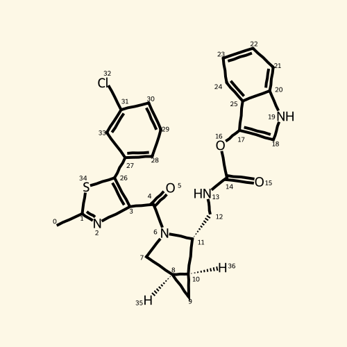 Cc1nc(C(=O)N2C[C@@H]3C[C@@H]3[C@H]2CNC(=O)Oc2c[nH]c3ccccc23)c(-c2cccc(Cl)c2)s1